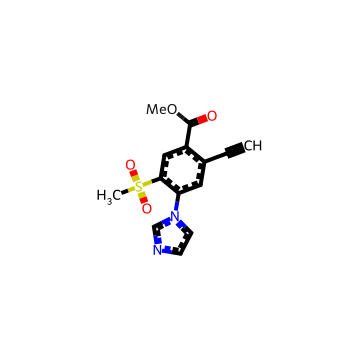 C#Cc1cc(-n2ccnc2)c(S(C)(=O)=O)cc1C(=O)OC